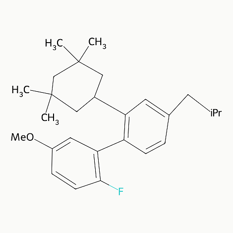 COc1ccc(F)c(-c2ccc(CC(C)C)cc2C2CC(C)(C)CC(C)(C)C2)c1